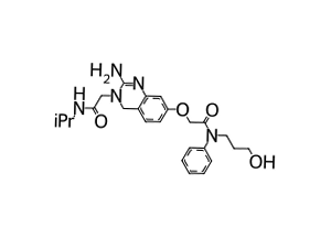 CC(C)NC(=O)CN1Cc2ccc(OCC(=O)N(CCCO)c3ccccc3)cc2N=C1N